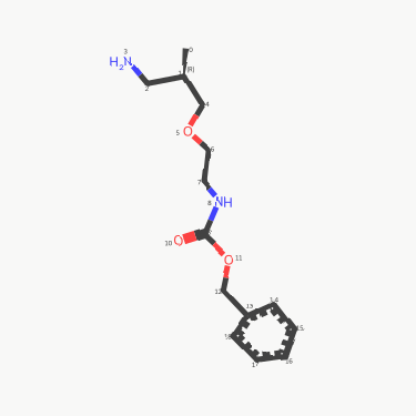 C[C@H](CN)COCCNC(=O)OCc1ccccc1